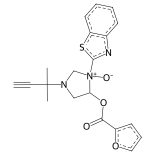 C#CC(C)(C)N1CC(OC(=O)c2ccco2)[N+]([O-])(c2nc3ccccc3s2)C1